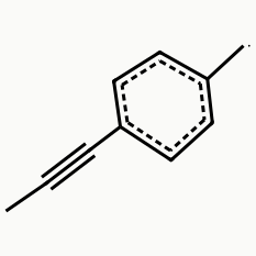 [CH2]c1ccc(C#CC)cc1